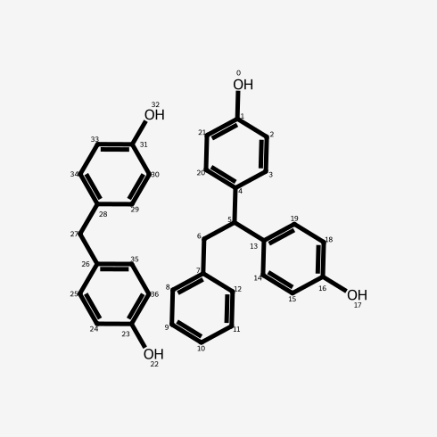 Oc1ccc(C(Cc2ccccc2)c2ccc(O)cc2)cc1.Oc1ccc(Cc2ccc(O)cc2)cc1